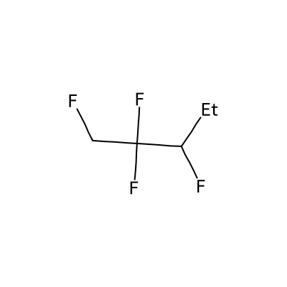 [CH2]CC(F)C(F)(F)CF